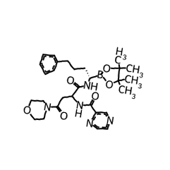 CC1(C)OB([C@@H](CCCc2ccccc2)NC(=O)C(CC(=O)N2CCOCC2)NC(=O)c2cnccn2)OC1(C)C